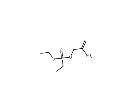 C=C(N)COP(=O)(CC)OCC